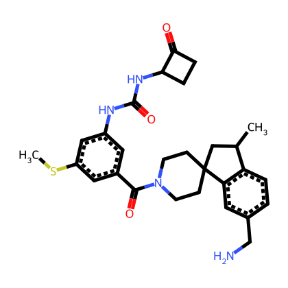 CSc1cc(NC(=O)NC2CCC2=O)cc(C(=O)N2CCC3(CC2)CC(C)c2ccc(CN)cc23)c1